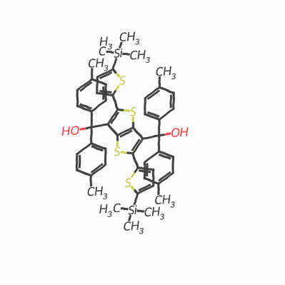 Cc1ccc(C(O)(c2ccc(C)cc2)c2c(-c3ccc([Si](C)(C)C)s3)sc3c(C(O)(c4ccc(C)cc4)c4ccc(C)cc4)c(-c4ccc([Si](C)(C)C)s4)sc23)cc1